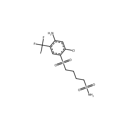 Nc1cc(Cl)c(S(=O)(=O)CCCCS(N)(=O)=O)cc1C(F)(F)F